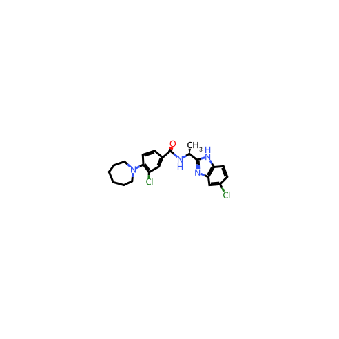 C[C@H](NC(=O)c1ccc(N2CCCCCC2)c(Cl)c1)c1nc2cc(Cl)ccc2[nH]1